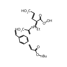 C=C(CCC)C(=O)O.C=CC(=O)OCCCC.C=Cc1ccccc1.CCC=C(C=CC(=O)O)C(=O)OO